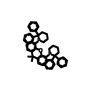 CC1(C)c2cccc(P3CCCCC3(c3ccccc3)c3ccccc3)c2Oc2c(P3CCCCC3(c3ccccc3)c3ccccc3)cccc21